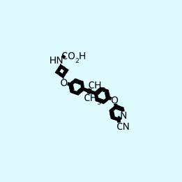 CC(C)(c1ccc(Oc2ccc(C#N)nc2)cc1)c1ccc(O[C@H]2C[C@@H](NC(=O)O)C2)cc1